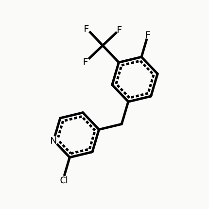 Fc1ccc(Cc2ccnc(Cl)c2)cc1C(F)(F)F